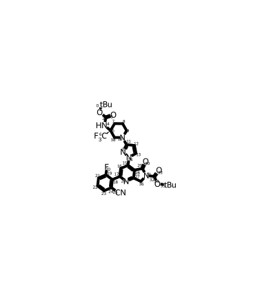 CC(C)(C)OC(=O)N[C@@]1(C(F)(F)F)CCCN(c2ccn(-c3cc(-c4c(F)cccc4C#N)nc4c3C(=O)N(C(=O)OC(C)(C)C)C4)n2)C1